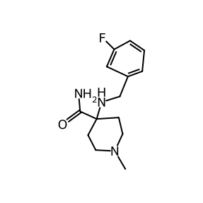 CN1CCC(NCc2cccc(F)c2)(C(N)=O)CC1